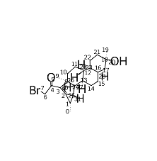 C[C@@H]1C2=C(C(=O)CBr)[C@@]3(C)CC[C@H]4[C@@H](CC[C@@H]5C[C@](C)(O)CC[C@@H]54)[C@@H]3[C@@H]21